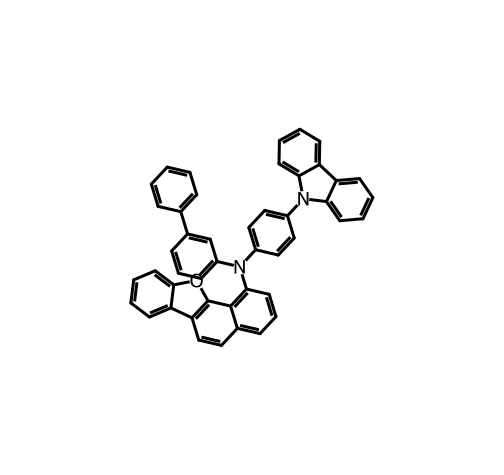 c1ccc(-c2cccc(N(c3ccc(-n4c5ccccc5c5ccccc54)cc3)c3cccc4ccc5c6ccccc6oc5c34)c2)cc1